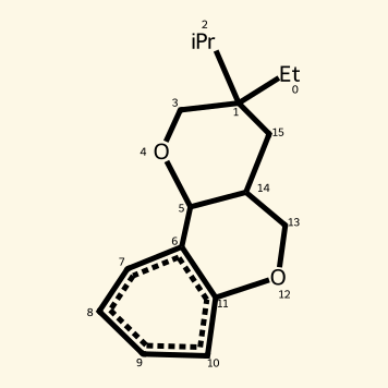 CCC1(C(C)C)COC2c3ccccc3OCC2C1